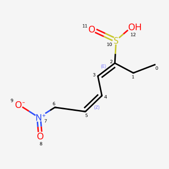 CC/C(=C\C=C/C[N+](=O)[O-])S(=O)O